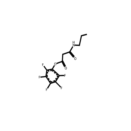 CCCNC(=O)CC(=O)Oc1c(F)c(F)c(F)c(F)c1F